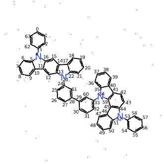 c1ccc(-n2c3ccccc3c3cc4c(cc32)c2ccccc2n4-c2cccc(-c3cccc(-n4c5ccccc5c5ccc6c(c7ccccc7n6-c6ccccc6)c54)c3)c2)cc1